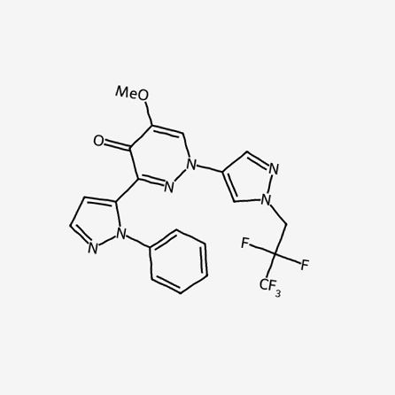 COc1cn(-c2cnn(CC(F)(F)C(F)(F)F)c2)nc(-c2ccnn2-c2ccccc2)c1=O